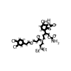 CCN(CC)CCN(CCC(COC(N)=O)c1ccc(O)c2[nH]c(=O)sc12)C(=O)CCOCCc1ccc(Cl)c(Cl)c1